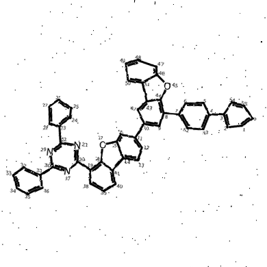 c1ccc(-c2ccc(-c3cc(-c4ccc5c(c4)oc4c(-c6nc(-c7ccccc7)nc(-c7ccccc7)n6)cccc45)cc4c3oc3ccccc34)cc2)cc1